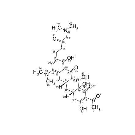 CC(=O)C1=C(O)C[C@@H]2C[C@@H]3Cc4c(N(C)C)cc(CCC(=O)CN(C)C)c(O)c4C(=O)C3=C(O)C2(O)C1=O